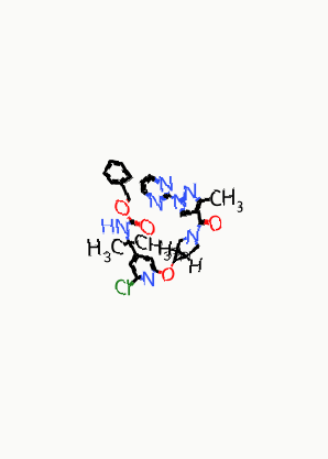 Cc1nn(-c2ncccn2)cc1C(=O)N1C[C@@H]2C(Oc3cc(C(C)(C)NC(=O)OCc4ccccc4)cc(Cl)n3)[C@@H]2C1